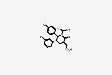 CCCC(C(=O)OCC)N1C(=O)C(CC(=O)O)CC([C@H]2C=C(Cl)C=CC2)C1c1ccc(Cl)cc1